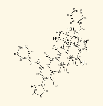 CC(C)(C)[Si](C)(C)OC12C(=O)c3c(OCc4ccccc4)noc3[C@@H](N)[C@@H]1C[C@@H]1Cc3c(F)c(C4CCCN4)cc(OCc4ccccc4)c3C(=O)C1=C2O